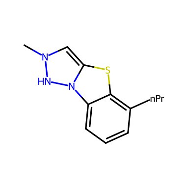 CCCc1cccc2c1SC1=CN(C)NN12